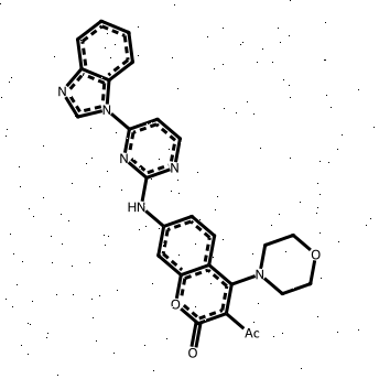 CC(=O)c1c(N2CCOCC2)c2ccc(Nc3nccc(-n4cnc5ccccc54)n3)cc2oc1=O